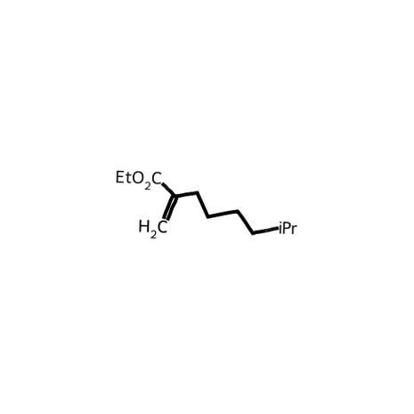 C=C(CCCCC(C)C)C(=O)OCC